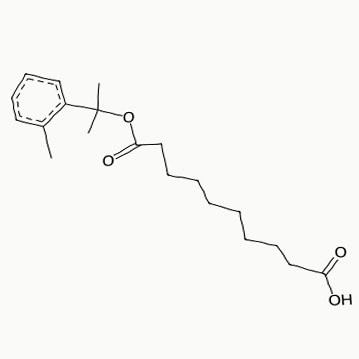 Cc1ccccc1C(C)(C)OC(=O)CCCCCCCCC(=O)O